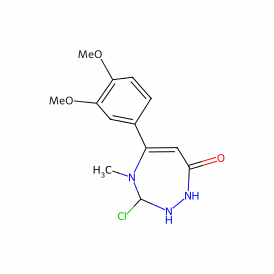 COc1ccc(C2=CC(=O)NNC(Cl)N2C)cc1OC